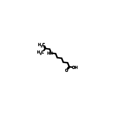 C=C(C)CNCCCCCC(=O)O